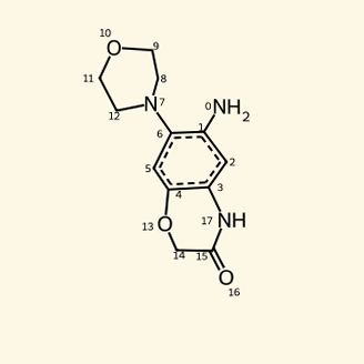 Nc1cc2c(cc1N1CCOCC1)OCC(=O)N2